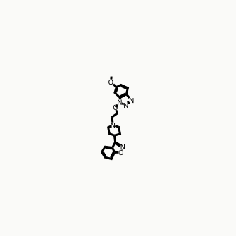 COc1ccc2nnn(OCCN3CCC(c4noc5ccccc45)CC3)c2c1